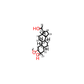 CO[C@H]1C[C@H]2[C@@H](CC[C@@H]3[C@@H]2CC[C@]2(C)[C@@H](C(C)O)CC[C@@H]32)C[C@]1(C)O